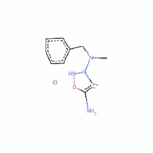 CN(Cc1ccccc1)N1[C+]=C(N)ON1.[Cl-]